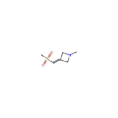 CN1CC(=CS(C)(=O)=O)C1